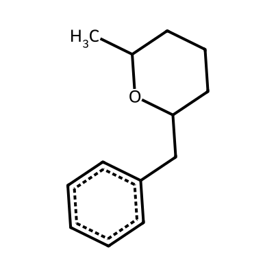 CC1CCCC(Cc2ccccc2)O1